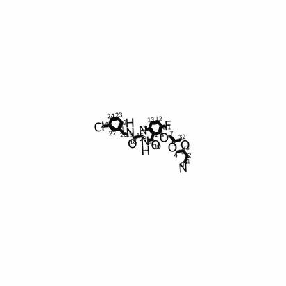 N#CCC1COC(COc2c(F)ccc3nc(C(=O)NCc4cccc(Cl)c4)[nH]c(=O)c23)CO1